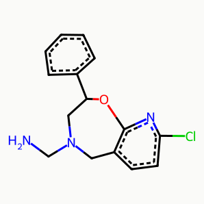 NCN1Cc2ccc(Cl)nc2OC(c2ccccc2)C1